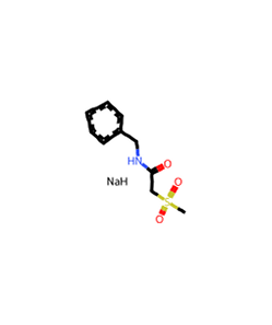 CS(=O)(=O)CC(=O)NCc1ccccc1.[NaH]